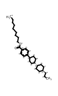 CCCCCCCCCOC(=O)c1ccc(C2CCC([C@H]3CC[C@H](CCC)CC3)CC2)cc1